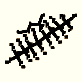 CCCCC.FC(F)(F)C(F)(F)C(F)(F)C(F)(F)C(F)(F)C(F)(F)C(F)(F)C(F)(F)F